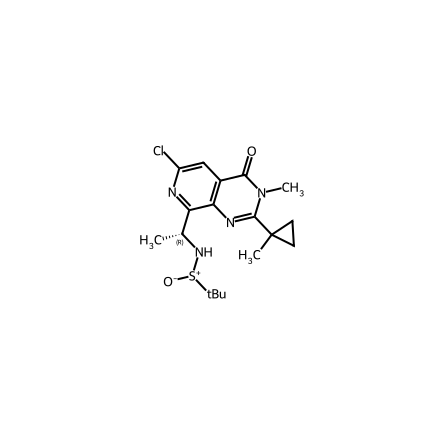 C[C@@H](N[S+]([O-])C(C)(C)C)c1nc(Cl)cc2c(=O)n(C)c(C3(C)CC3)nc12